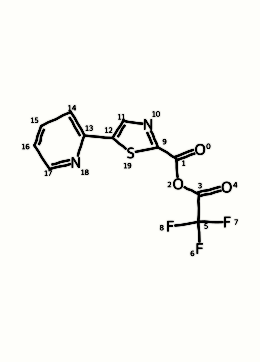 O=C(OC(=O)C(F)(F)F)c1ncc(-c2ccccn2)s1